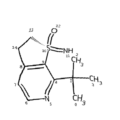 CC(C)(C)c1nccc2c1[S@](=N)(=O)CC2